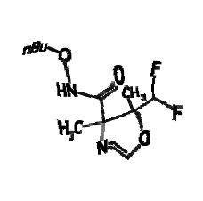 CCCCONC(=O)C1(C)N=COC1(C)C(F)F